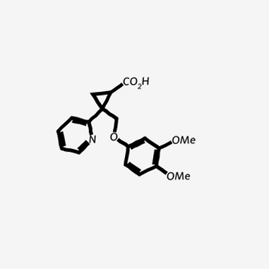 COc1ccc(OCC2(c3ccccn3)CC2C(=O)O)cc1OC